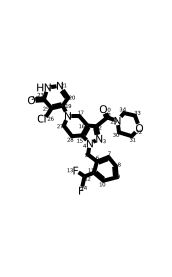 O=C(c1nn(Cc2ccccc2C(F)F)c2c1CN(c1cn[nH]c(=O)c1Cl)CC2)N1CCOCC1